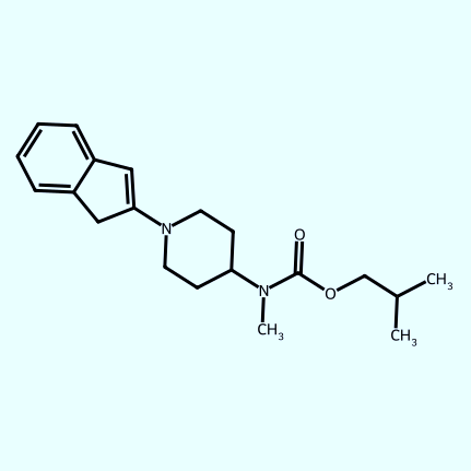 CC(C)COC(=O)N(C)C1CCN(C2=Cc3ccccc3C2)CC1